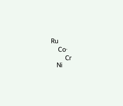 [Co].[Cr].[Ni].[Ru]